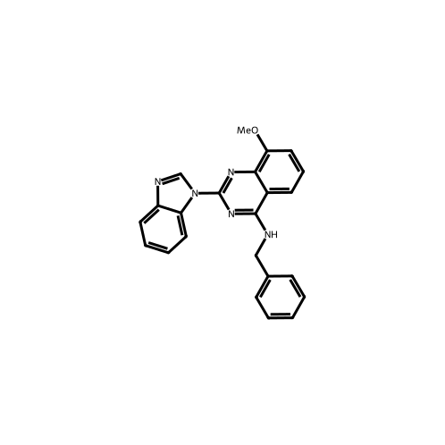 COc1cccc2c(NCc3ccccc3)nc(-n3cnc4ccccc43)nc12